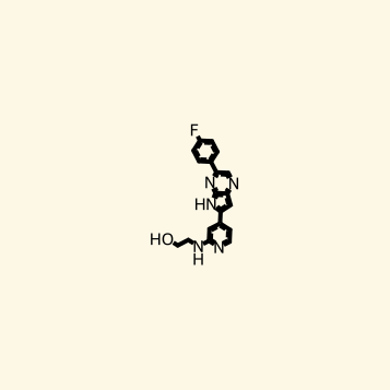 OCCNc1cc(-c2cc3ncc(-c4ccc(F)cc4)nc3[nH]2)ccn1